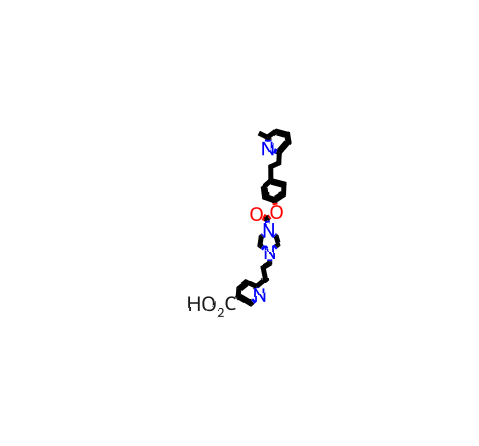 Cc1cccc(CCc2ccc(OC(=O)N3CCN(CCCc4ccc(C(=O)O)cn4)CC3)cc2)n1